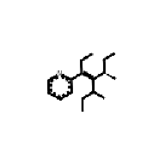 CC/C(=C(/C(C)CC)[C@H](C)CC)c1ccccn1